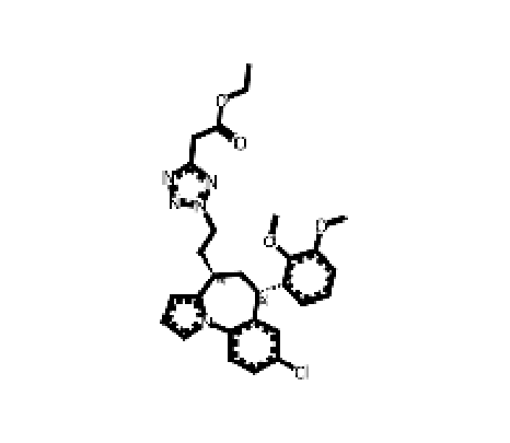 CCOC(=O)Cc1nnn(CC[C@H]2C[C@H](c3cccc(OC)c3OC)c3cc(Cl)ccc3-n3cccc32)n1